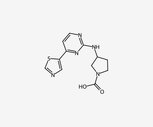 O=C(O)N1CCC(Nc2nccc(-c3cncs3)n2)C1